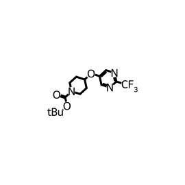 CC(C)(C)OC(=O)N1CCC(Oc2cnc(C(F)(F)F)nc2)CC1